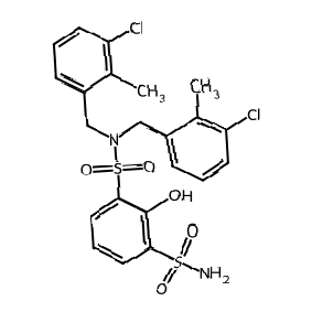 Cc1c(Cl)cccc1CN(Cc1cccc(Cl)c1C)S(=O)(=O)c1cccc(S(N)(=O)=O)c1O